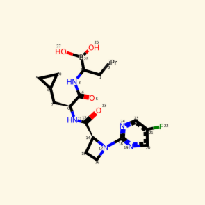 CC(C)CC(NC(=O)[C@H](CC1CC1)NC(=O)[C@@H]1CCN1c1ncc(F)cn1)B(O)O